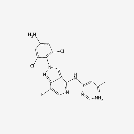 C=C(C)/C=C(\N=C/N)Nc1ncc(F)c2nn(-c3c(Cl)cc(N)cc3Cl)cc12